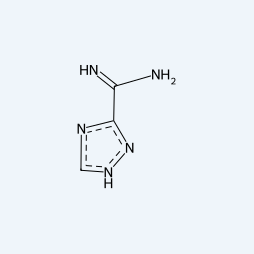 N=C(N)c1nc[nH]n1